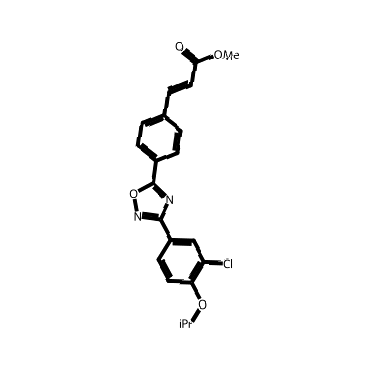 COC(=O)C=Cc1ccc(-c2nc(-c3ccc(OC(C)C)c(Cl)c3)no2)cc1